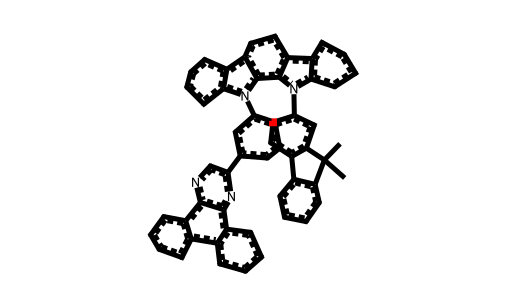 CC1(C)c2ccccc2-c2ccc(-n3c4ccccc4c4ccc5c6ccccc6n(-c6cccc(-c7cnc8c9ccccc9c9ccccc9c8n7)c6)c5c43)cc21